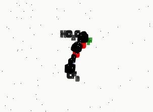 O=C(O)c1ccc(F)c(Oc2cccc(OC/C=C/c3ccc(C(F)(F)F)cc3)c2)c1